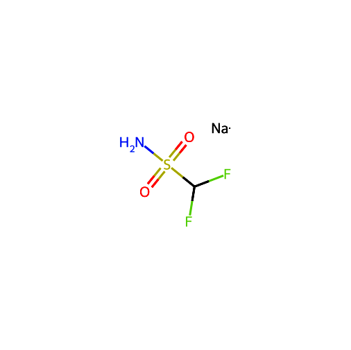 NS(=O)(=O)C(F)F.[Na]